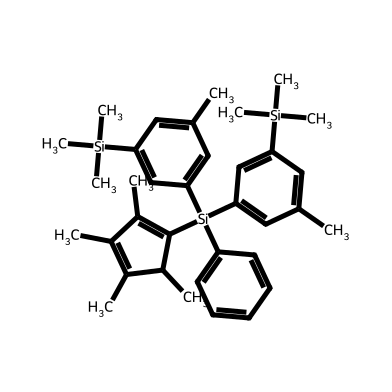 CC1=C(C)C(C)C([Si](c2ccccc2)(c2cc(C)cc([Si](C)(C)C)c2)c2cc(C)cc([Si](C)(C)C)c2)=C1C